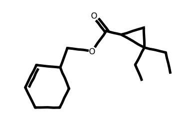 CCC1(CC)CC1C(=O)OCC1C=CCCC1